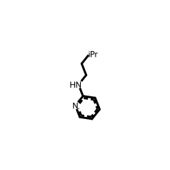 CC(C)CCNc1ccccn1